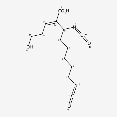 O=C=NCCCCCC(N=C=O)C(=CCCO)C(=O)O